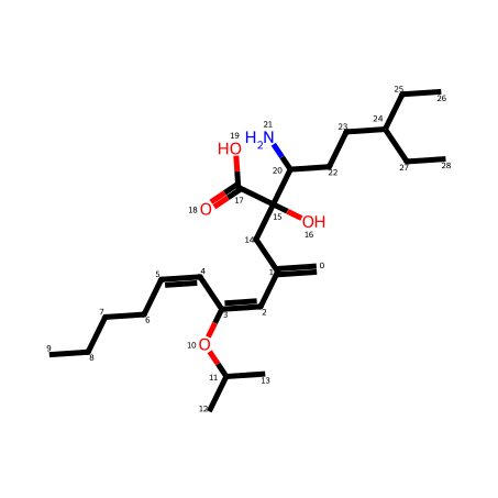 C=C(/C=C(\C=C/CCCC)OC(C)C)CC(O)(C(=O)O)C(N)CCC(CC)CC